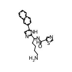 NCCCC[C@H](NC(=O)c1cncs1)c1ncc(-c2ccc3ccccc3c2)[nH]1